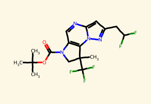 CC(C)(C)OC(=O)N1CC(C)(C(F)(F)F)c2c1cnc1cc(CC(F)F)nn21